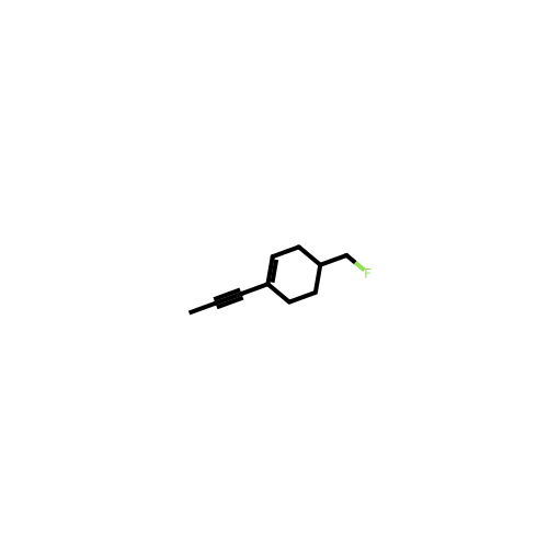 CC#CC1=CCC(CF)CC1